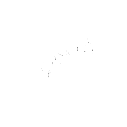 CC1CN(c2ccc(NCc3ccc(NS(=O)(=O)C(C)(C)C)cc3)cc2)C[C@@H](C)O1